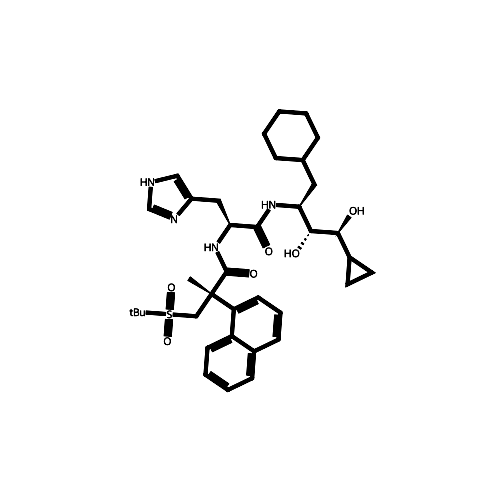 CC(C)(C)S(=O)(=O)C[C@](C)(C(=O)N[C@@H](Cc1c[nH]cn1)C(=O)N[C@@H](CC1CCCCC1)[C@@H](O)[C@@H](O)C1CC1)c1cccc2ccccc12